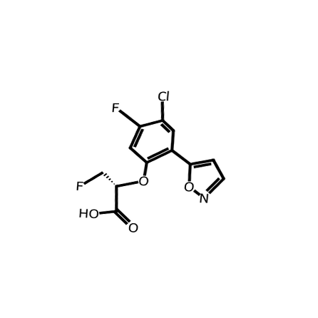 O=C(O)[C@H](CF)Oc1cc(F)c(Cl)cc1-c1ccno1